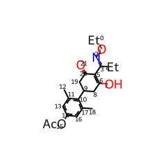 CCON=C(CC)C1=C(O)CC(c2c(C)cc(OC(C)=O)cc2C)CC1=O